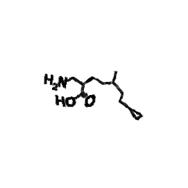 CC(CCC1CC1)CC[C@H](CN)C(=O)O